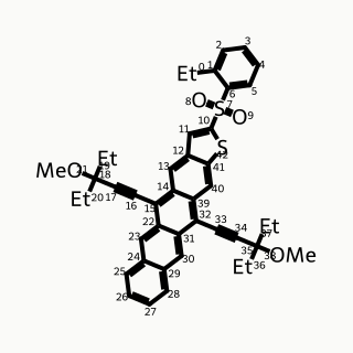 CCc1ccccc1S(=O)(=O)c1cc2cc3c(C#CC(CC)(CC)OC)c4cc5ccccc5cc4c(C#CC(CC)(CC)OC)c3cc2s1